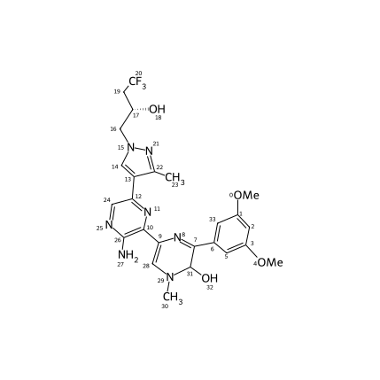 COc1cc(OC)cc(C2=NC(c3nc(-c4cn(C[C@@H](O)CC(F)(F)F)nc4C)cnc3N)=CN(C)C2O)c1